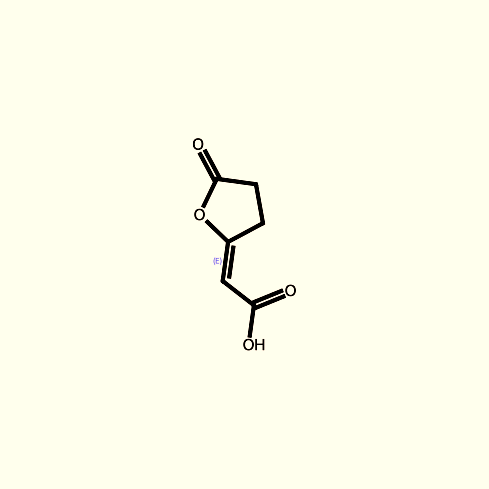 O=C(O)/C=C1\CCC(=O)O1